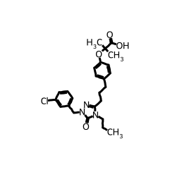 CCCn1c(CCCc2ccc(OC(C)(C)C(=O)O)cc2)nn(Cc2cccc(Cl)c2)c1=O